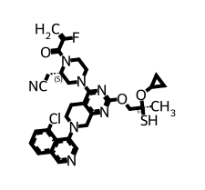 C=C(F)C(=O)N1CCN(c2nc(OC[C@](C)(S)OC3CC3)nc3c2CCN(c2cncc4cccc(Cl)c24)C3)C[C@@H]1CC#N